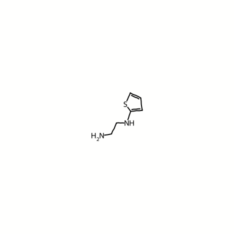 NCCNc1cccs1